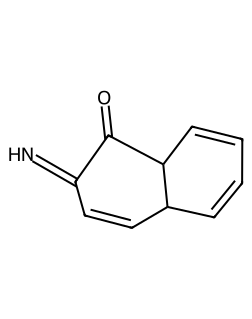 N=C1C=CC2C=CC=CC2C1=O